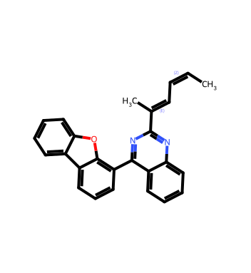 C/C=C\C=C(/C)c1nc(-c2cccc3c2oc2ccccc23)c2ccccc2n1